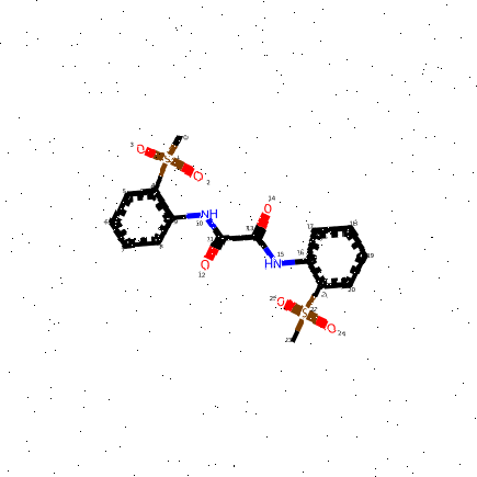 CS(=O)(=O)c1ccccc1NC(=O)C(=O)Nc1ccccc1S(C)(=O)=O